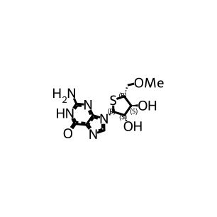 COC[C@H]1S[C@@H](n2cnc3c(=O)[nH]c(N)nc32)[C@@H](O)[C@@H]1O